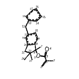 C=C(C)C(=O)OC1(C)c2ccc(Cc3ccccc3)cc2CC1(C)C